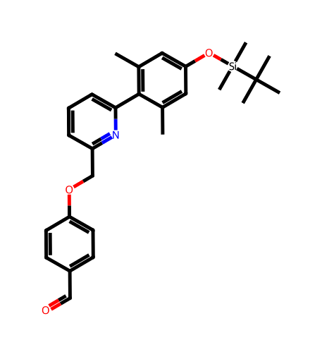 Cc1cc(O[Si](C)(C)C(C)(C)C)cc(C)c1-c1cccc(COc2ccc(C=O)cc2)n1